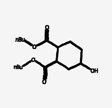 CCCCOC(=O)C1CCC(O)CC1C(=O)OCCCC